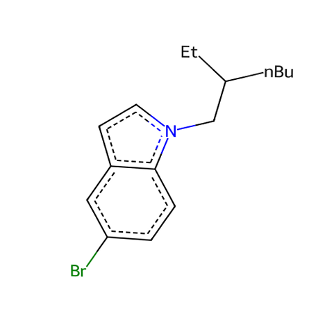 CCCCC(CC)Cn1ccc2cc(Br)ccc21